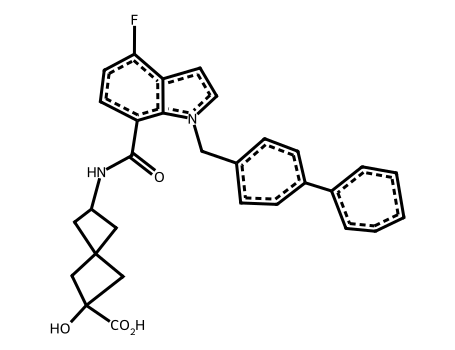 O=C(NC1CC2(C1)CC(O)(C(=O)O)C2)c1ccc(F)c2ccn(Cc3ccc(-c4ccccc4)cc3)c12